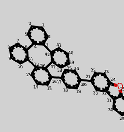 c1ccc2c(c1)-c1ccccc1-c1cccc(-c3ccc(-c4ccc5oc6cnccc6c5c4)cc3)c1-c1ccccc1-2